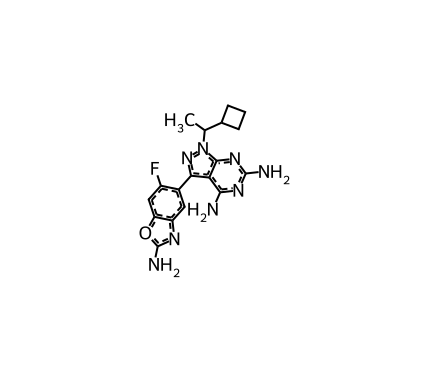 CC(C1CCC1)n1nc(-c2cc3nc(N)oc3cc2F)c2c(N)nc(N)nc21